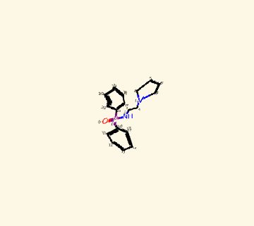 O=P(NCCN1CCCC1)(c1ccccc1)c1ccccc1